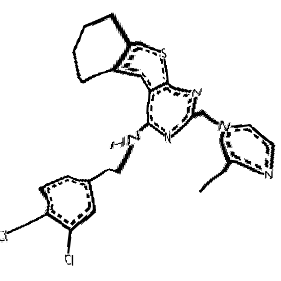 Cc1nccn1-c1nc(NCc2ccc(Cl)c(Cl)c2)c2c3c(sc2n1)CCCC3